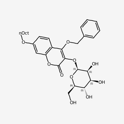 CCCCCCCCOc1ccc2c(OCc3ccccc3)c(O[C@@H]3O[C@H](CO)[C@@H](O)[C@H](O)[C@@H]3O)c(=O)oc2c1